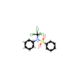 O=S(=O)(c1ccccc1)N(c1ccccc1)C(Cl)(Cl)Cl